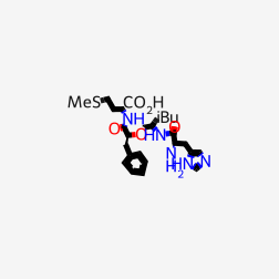 CCC(C)C(CO[C@@H](Cc1ccccc1)C(=O)N[C@@H](CCSC)C(=O)O)NC(=O)[C@@H](N)Cc1cnc[nH]1